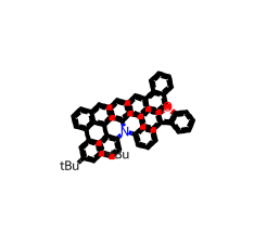 CC(C)(C)c1cc(-c2cccc3cccc(-c4ccccc4N(c4ccccc4-c4ccc5c(c4)oc4ccccc45)c4ccccc4-c4cccc5c4ccc4ccccc45)c23)cc(C(C)(C)C)c1